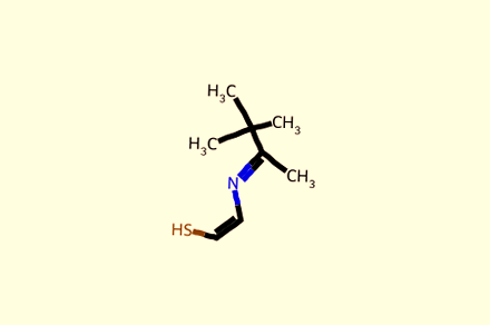 C/C(=N\C=C/S)C(C)(C)C